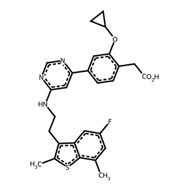 Cc1sc2c(C)cc(F)cc2c1CCNc1cc(-c2ccc(CC(=O)O)c(OC3CC3)c2)ncn1